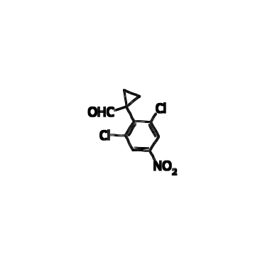 O=CC1(c2c(Cl)cc([N+](=O)[O-])cc2Cl)CC1